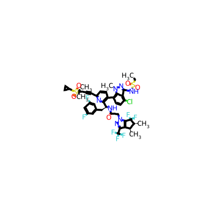 CCS(=O)(=O)Nc1nn(C)c2c(-c3ccc(C#CC(C)(C)S(=O)(=O)C4CC4)nc3[C@H](Cc3cc(F)cc(F)c3)NC(=O)Cn3nc(C(F)(F)F)c4c3C(F)(F)[C@H](C)[C@@H]4C)ccc(Cl)c12